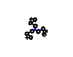 CC1(C)c2ccccc2-c2c(-c3ccc(N(c4cccc(-c5cccc6c5-c5ccccc5C6(C)C)c4)c4cccc(-c5cccc6c5-c5ccccc5C6(C)C)c4)cc3)cccc21